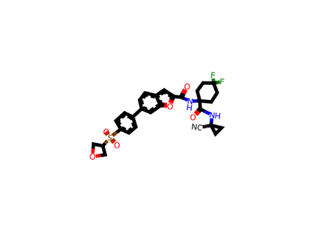 N#CC1(NC(=O)C2(NC(=O)c3cc4ccc(-c5ccc(S(=O)(=O)C6COC6)cc5)cc4o3)CCC(F)(F)CC2)CC1